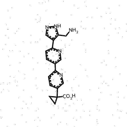 NCc1[nH]ncc1-c1ccc(-c2ccc(C3(C(=O)O)CC3)cn2)cn1